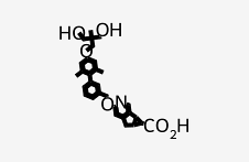 Cc1cc(OCC(C)(CO)CO)cc(C)c1-c1cccc(COc2cc3c(cn2)C2C(C3)C2C(=O)O)c1